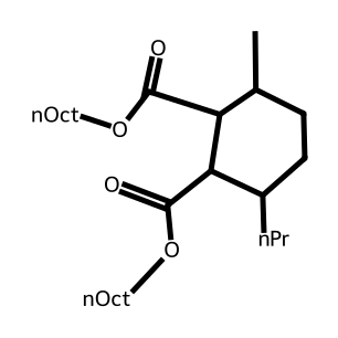 CCCCCCCCOC(=O)C1C(C)CCC(CCC)C1C(=O)OCCCCCCCC